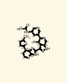 CCCC(=O)Nc1cncc(-c2ncc3[nH]nc(-c4nc5c(-c6ccc(C)s6)ccnc5[nH]4)c3c2F)c1